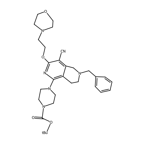 CC(C)(C)OC(=O)N1CCN(c2nc(OCCN3CCOCC3)c(C#N)c3c2CCN(Cc2ccccc2)C3)CC1